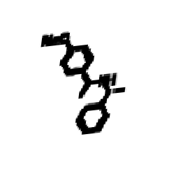 COc1ccc(C(C)N[C@H](C)c2ccccc2)cc1